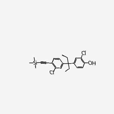 CCC(CC)(c1ccc(O)c(Cl)c1)c1ccc(C#C[Si](C)(C)C)c(Cl)c1